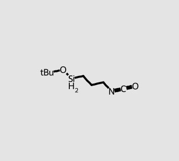 CC(C)(C)O[SiH2]CCCN=C=O